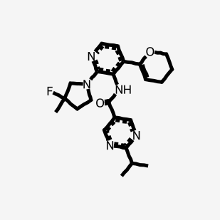 CC(C)c1ncc(C(=O)Nc2c(C3=CCCCO3)ccnc2N2CCC(C)(F)C2)cn1